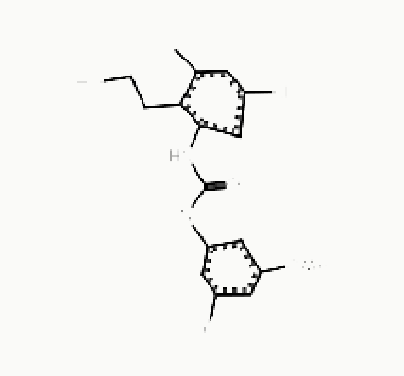 COc1cc(Cl)cc(NC(=O)Nc2cc(Cl)cc(Cl)c2CCO)c1